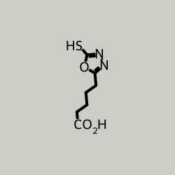 O=C(O)CCCCc1nnc(S)o1